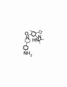 Cc1cc(C2CCC2)c(-c2nc(C)c(C)[nH]2)cc1C(=O)N1CCC(c2ccc(N)cc2)CC1